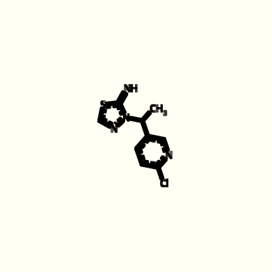 CC(c1ccc(Cl)nc1)n1ncsc1=N